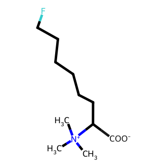 C[N+](C)(C)C(CCCCCCF)C(=O)[O-]